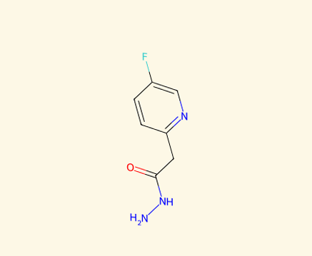 NNC(=O)Cc1ccc(F)cn1